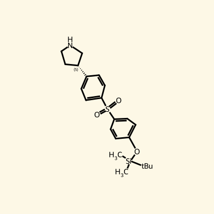 CC(C)(C)[Si](C)(C)Oc1ccc(S(=O)(=O)c2ccc([C@@H]3CCNC3)cc2)cc1